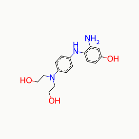 Nc1cc(O)ccc1Nc1ccc(N(CCO)CCO)cc1